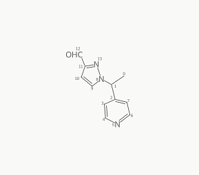 CC(c1ccncc1)n1ccc(C=O)n1